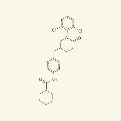 O=C(Nc1ccc(CC2CCC(=O)N(c3c(Cl)cccc3Cl)C2)cc1)C1CCCCC1